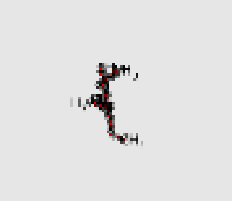 CCCCC/C=C\CCCCCCCCCCCN(CCCCCCCCOC(=O)C(CCCCCC)CCCCCCCC)OC(=O)CCCN(C)C